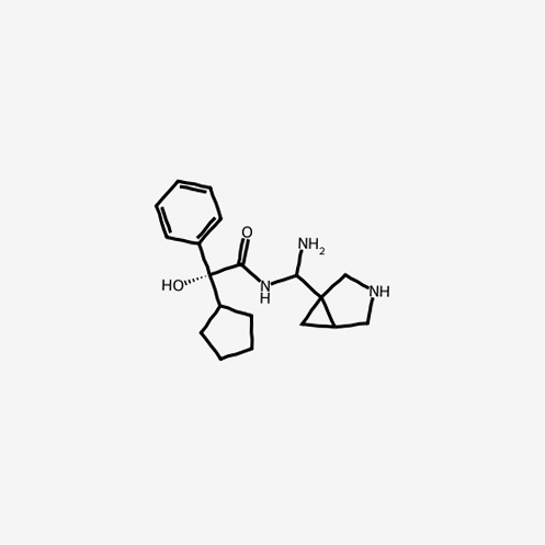 NC(NC(=O)[C@](O)(c1ccccc1)C1CCCC1)C12CNCC1C2